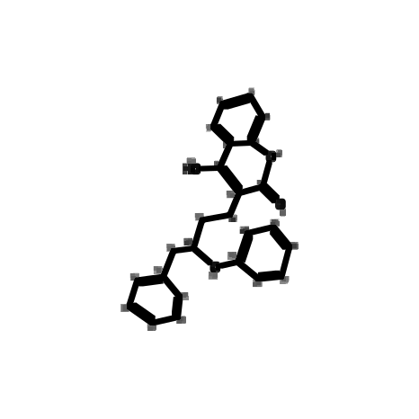 O=c1oc2ccccc2c(O)c1CCC(Cc1ccccc1)Oc1ccccc1